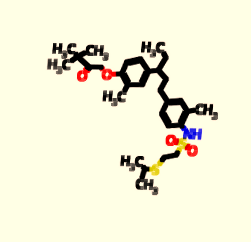 CCC(CCc1ccc(NS(=O)(=O)CCSC(C)C)c(C)c1)c1ccc(OCC(=O)C(C)(C)C)c(C)c1